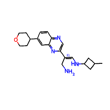 CC1CC(N/C=C(\CN)c2cnc3ccc(C4CCOCC4)cc3n2)C1